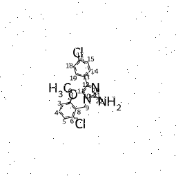 COc1cccc(Cl)c1Cn1cc(-c2ccc(Cl)cc2)nc1N